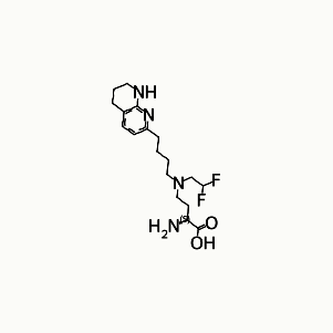 N[C@@H](CCN(CCCCc1ccc2c(n1)NCCC2)CC(F)F)C(=O)O